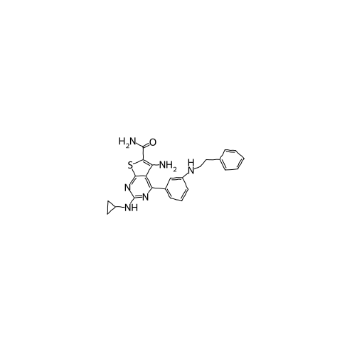 NC(=O)c1sc2nc(NC3CC3)nc(-c3cccc(NCCc4ccccc4)c3)c2c1N